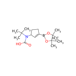 CC(C)(C)N(C(=O)O)C1C=C(B2OC(C)(C)C(C)(C)O2)CC1